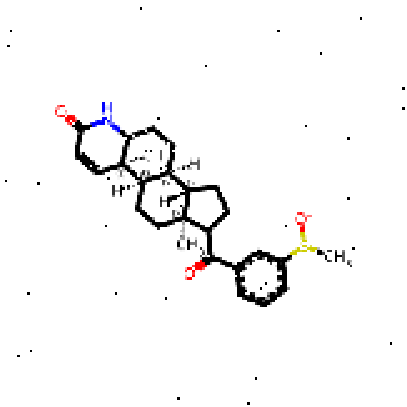 C[S+]([O-])c1cccc(C(=O)C2CC[C@H]3[C@@H]4CCC5NC(=O)C=C[C@]5(C)[C@@H]4CC[C@]23C)c1